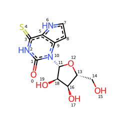 O=c1[nH]c(=S)c2[nH]ccc2n1[C@@H]1O[C@H](CO)[C@@H](O)[C@H]1O